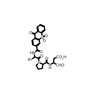 CC(C)C(NC(=O)c1ccc2c(c1)S(=O)(=O)c1ccccc1C2=O)C(=O)N1CCCC1C(=O)NC(C=O)CC(=O)O